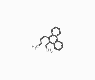 C=C/C=C\c1c(C=C)c2ccccc2c2ccccc12